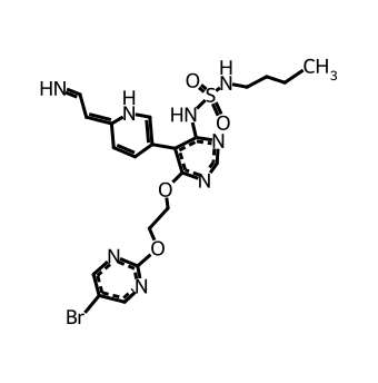 CCCCNS(=O)(=O)Nc1ncnc(OCCOc2ncc(Br)cn2)c1C1=CN/C(=C\C=N)C=C1